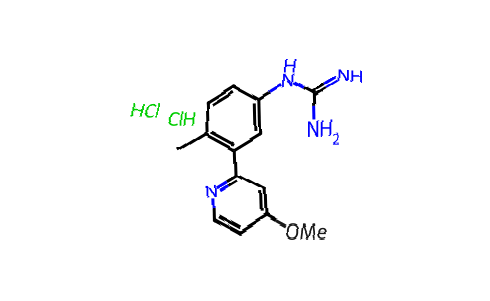 COc1ccnc(-c2cc(NC(=N)N)ccc2C)c1.Cl.Cl